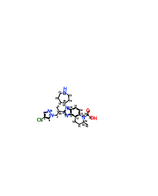 C[C@H](Cn1cc(Cl)cn1)c1nc2c3c(ccc2n1[C@@H]1CCCNCC1)N(C(=O)O)[C@@H](C)CC3